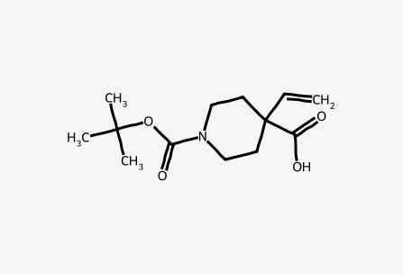 C=CC1(C(=O)O)CCN(C(=O)OC(C)(C)C)CC1